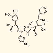 Nc1nc(/C(=N/O[C@@H](C(=O)O)c2ccc(O)c(O)c2)C(=O)N[C@@H]2C(=O)N3C(C(=O)O)=C(C(N)Sc4ccncc4)CS[C@H]23)cs1